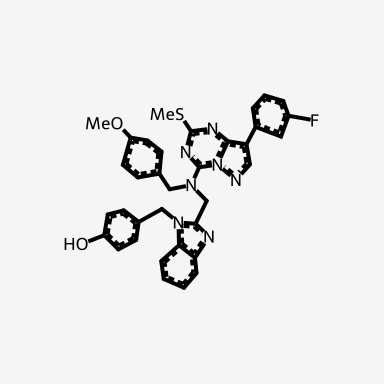 COc1ccc(CN(Cc2nc3ccccc3n2Cc2ccc(O)cc2)c2nc(SC)nc3c(-c4cccc(F)c4)cnn23)cc1